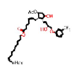 CCCCCC/C=C\CCCCCCCCOC(=O)CCC/C=C\C[C@@H]1[C@@H](/C=C/[C@@H](O)COc2cccc(C(F)(F)F)c2)[C@H](O)C[C@@H]1OC(C)=O